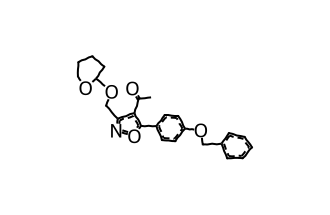 CC(=O)c1c(COC2CCCCO2)noc1-c1ccc(OCc2ccccc2)cc1